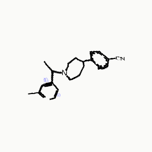 C=C(C)/C=C(\C=C/C)C(C)N1CCC(c2ccc(C#N)cc2)CC1